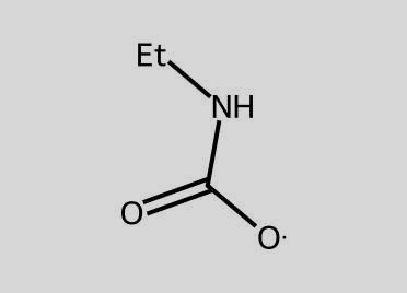 [CH2]CNC([O])=O